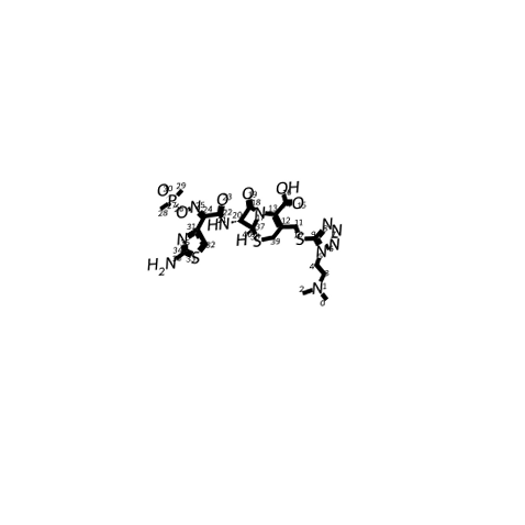 CN(C)CCn1nnnc1SCC1=C(C(=O)O)N2C(=O)[C@@H](NC(=O)/C(=N/OP(C)(C)=O)c3csc(N)n3)[C@H]2SC1